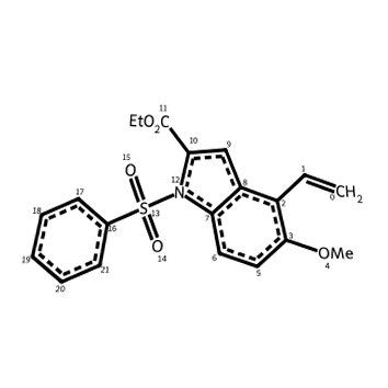 C=Cc1c(OC)ccc2c1cc(C(=O)OCC)n2S(=O)(=O)c1ccccc1